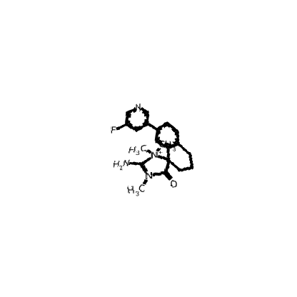 CN1C(=O)C2(CCCc3ccc(-c4cncc(F)c4)cc32)[N+](C)(C)C1N